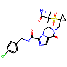 CC(C)(C(N)=O)S(=O)(=O)C1(CN2CCn3c(cnc3C(=O)NCc3ccc(Cl)cc3)C2=O)CC1